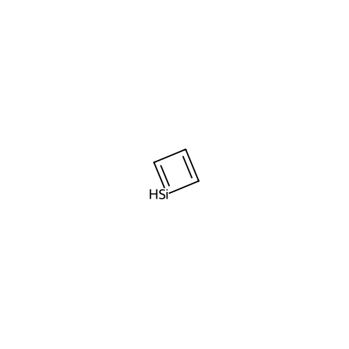 C1=C[SiH]=C1